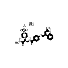 Cc1cc(COc2ccc(C(=O)NC[C@@H](C(=O)NO)N3CCN(S(C)(=O)=O)CC3)cc2)c2ccccc2n1.Cl.Cl